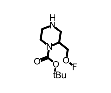 CC(C)(C)OC(=O)N1CCNCC1COF